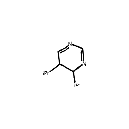 CC(C)C1C=NC=NC1C(C)C